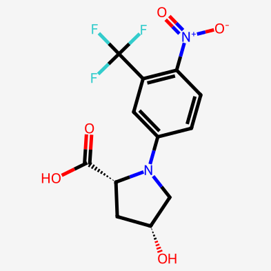 O=C(O)[C@H]1C[C@@H](O)CN1c1ccc([N+](=O)[O-])c(C(F)(F)F)c1